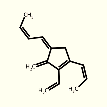 C=CC1=C(/C=C\C)C/C(=C/C=C\C)C1=C